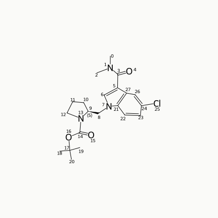 CN(C)C(=O)c1cn(C[C@@H]2CCCN2C(=O)OC(C)(C)C)c2ccc(Cl)cc12